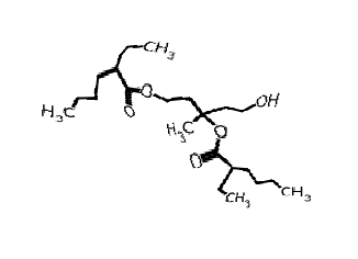 CCCCC(CC)C(=O)OCCC(C)(CCO)OC(=O)C(CC)CCCC